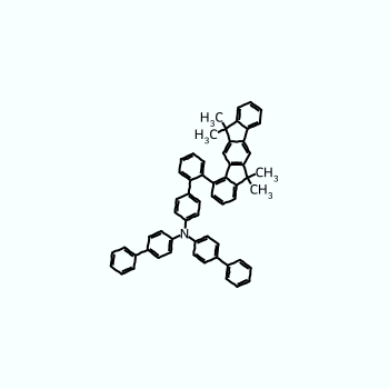 CC1(C)c2ccccc2-c2cc3c(cc21)-c1c(-c2ccccc2-c2ccc(N(c4ccc(-c5ccccc5)cc4)c4ccc(-c5ccccc5)cc4)cc2)cccc1C3(C)C